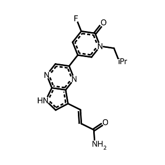 CC(C)Cn1cc(-c2cnc3[nH]cc(/C=C/C(N)=O)c3n2)cc(F)c1=O